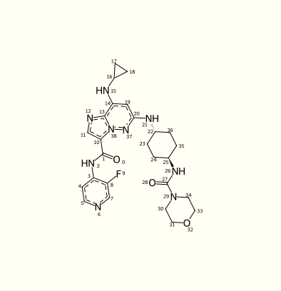 O=C(Nc1ccncc1F)c1cnc2c(NC3CC3)cc(N[C@H]3CC[C@H](NC(=O)N4CCOCC4)CC3)nn12